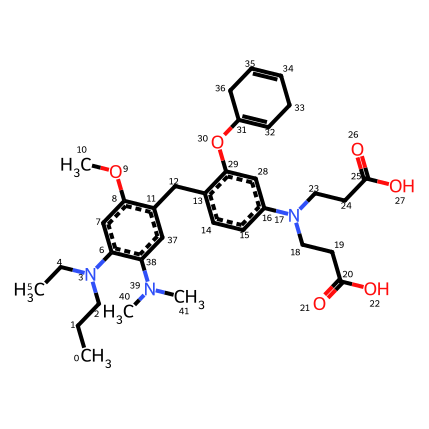 CCCN(CC)c1cc(OC)c(Cc2ccc(N(CCC(=O)O)CCC(=O)O)cc2OC2=CCC=CC2)cc1N(C)C